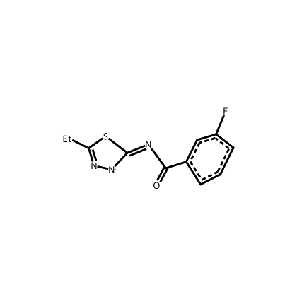 CCC1=N[N]C(=NC(=O)c2cccc(F)c2)S1